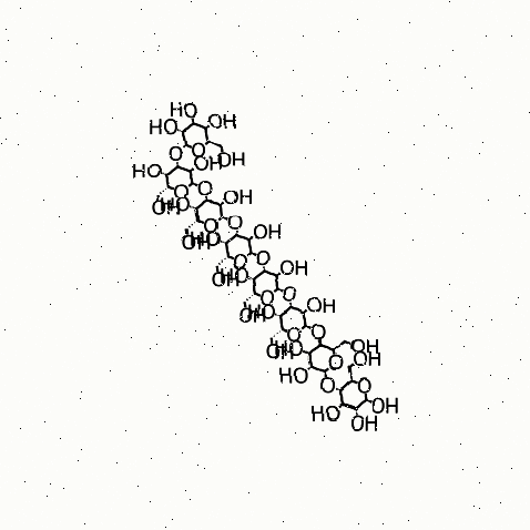 OC[C@H]1O[C@H](O[C@H]2[C@@H](O)[C@@H](CO)O[C@H](O[C@H]3[C@@H](O)[C@@H](CO)O[C@H](O[C@H]4[C@@H](O)[C@@H](CO)O[C@H](O[C@H]5[C@@H](O)[C@@H](CO)O[C@H](O[C@H]6[C@@H](O)[C@@H](CO)O[C@H](O[C@@H]7[C@H](O)[C@@H](O)[C@H](O[C@H]8[C@H](O)[C@@H](O)[C@H](O)O[C@@H]8CO)O[C@@H]7CO)[C@@H]6O)[C@@H]5O)[C@@H]4O)[C@@H]3O)[C@@H]2O)[C@H](O)[C@@H](O)[C@H]1O